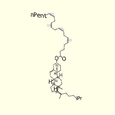 CCCCC/C=C\C/C=C\C/C=C\C/C=C\CCCC(=O)O[C@H]1CC[C@@]2(C)C(=CC[C@H]3[C@@H]4CC[C@H](C(C)CCCC(C)C)[C@@]4(C)CC[C@@H]32)C1